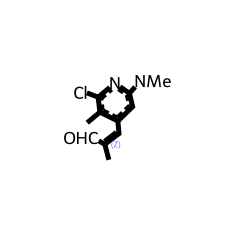 CNc1cc(/C=C(/C)C=O)c(C)c(Cl)n1